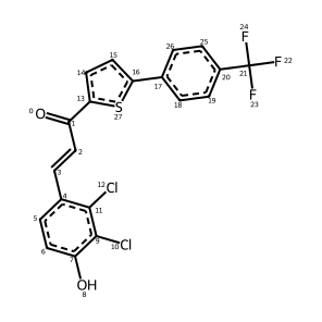 O=C(C=Cc1ccc(O)c(Cl)c1Cl)c1ccc(-c2ccc(C(F)(F)F)cc2)s1